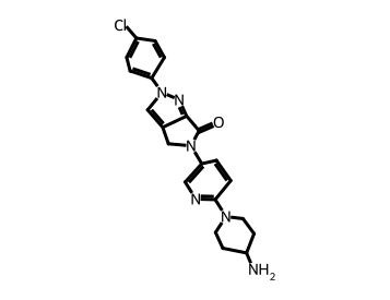 NC1CCN(c2ccc(N3Cc4cn(-c5ccc(Cl)cc5)nc4C3=O)cn2)CC1